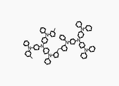 Cc1cccc(N(c2ccccc2)c2ccc(N(c3ccc(N(c4ccccc4)c4cccc(C)c4)cc3)c3ccc(N(c4ccccc4)c4cccc(Cc5cccc(N(c6ccccc6)c6ccc(N(c7ccc(N(c8ccccc8)c8ccccc8)cc7)c7ccc(N(c8ccccc8)c8ccccc8)cc7)cc6)c5)c4)cc3)cc2)c1